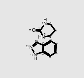 O=C1NCCCN1.c1ccc2[nH]ncc2c1